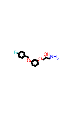 NC[C@@H](O)COc1cccc(OCc2ccc(F)cc2)c1